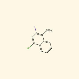 CSc1c(I)cc(Br)c2ccccc12